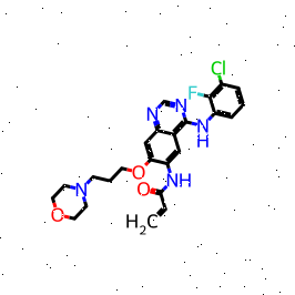 C=CC(=O)Nc1cc2c(Nc3cccc(Cl)c3F)ncnc2cc1OCCCN1CCOCC1